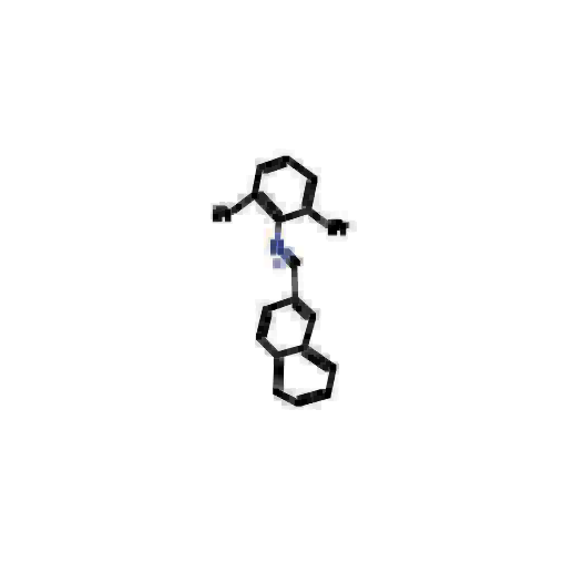 CC(C)c1cccc(C(C)C)c1/N=C/c1ccc2ccccc2c1